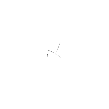 CN(I)CI